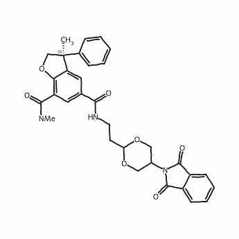 CNC(=O)c1cc(C(=O)NCCC2OCC(N3C(=O)c4ccccc4C3=O)CO2)cc2c1OC[C@@]2(C)c1ccccc1